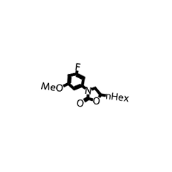 CCCCCCC1CN(c2cc(F)cc(OC)c2)C(=O)O1